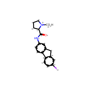 O=C(Nc1ccc2c(c1)Cc1cc(I)ccc1-2)C1CCCN1C(=O)O